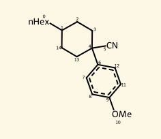 CCCCCCC1CCC(C#N)(c2ccc(OC)cc2)CC1